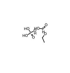 CCO[PH](=O)O.O=P(O)(O)O